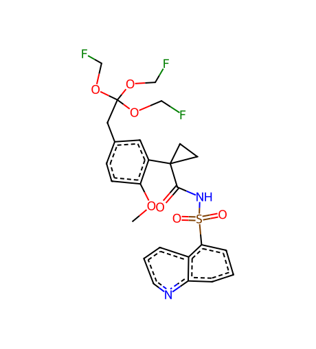 COc1ccc(CC(OCF)(OCF)OCF)cc1C1(C(=O)NS(=O)(=O)c2cccc3ncccc23)CC1